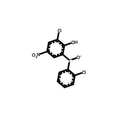 O=[N+]([O-])c1cc(Cl)c(O)c([I+]([O-])c2ccccc2Cl)c1